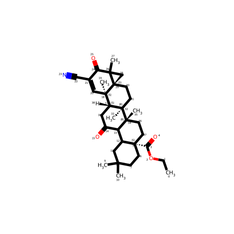 CCOC(=O)[C@]12CCC(C)(C)CC1C1C(=O)C[C@@H]3[C@@]4(C)C=C(C#N)C(=O)C5(C)C[C@]54CC[C@@]3(C)[C@]1(C)CC2